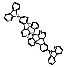 c1ccc([Si](c2ccccc2)(c2nccc3c2oc2ccc(-n4c5ccccc5c5ccccc54)cc23)c2nccc3c2sc2ccc(-n4c5ccccc5c5cccnc54)cc23)cc1